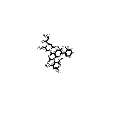 C=CC(=O)N1CC(C)N(c2nc(=O)n(-c3c(C)cc(CC)nc3C(C)C)c3nc(-c4ccccc4F)c(Cl)cc23)CC1C